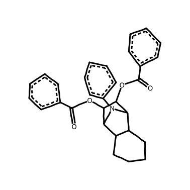 O=C(OC1C(OC(=O)c2ccccc2)C2C3CCCCC3C1N2c1ccccc1)c1ccccc1